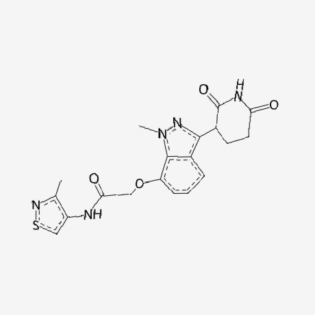 Cc1nscc1NC(=O)COc1cccc2c(C3CCC(=O)NC3=O)nn(C)c12